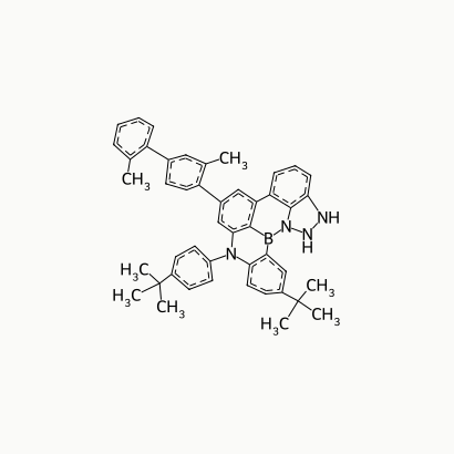 Cc1ccccc1-c1ccc(-c2cc3c4c(c2)N(c2ccc(C(C)(C)C)cc2)c2ccc(C(C)(C)C)cc2B4N2NNc4cccc-3c42)c(C)c1